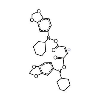 O=C(/C=C\C(=O)ON(c1ccc2c(c1)OCO2)C1CCCCC1)ON(c1ccc2c(c1)OCO2)C1CCCCC1